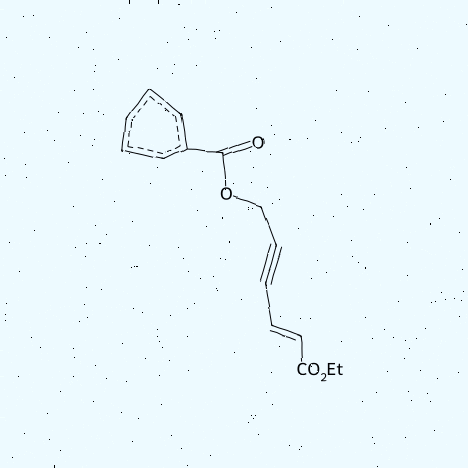 CCOC(=O)/C=C/C#CCOC(=O)c1ccccc1